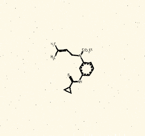 CCOC(=O)N(CC=C(C)C)c1cccc(NC(=S)C2CC2)c1